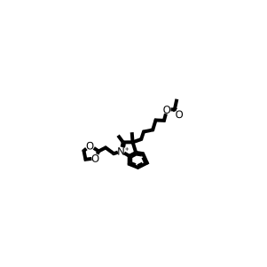 CC(=O)OCCCCCC1(C)C(C)=[N+](CCC2OCCO2)c2ccccc21